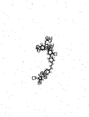 O=C(O)CC(NS(=O)(=O)c1ccc(N2CCC(CCCC3CCN(S(=O)(=O)c4cc(Br)c(Cl)s4)CC3)CC2)c(Cl)c1)c1ccc2c(c1)OCO2